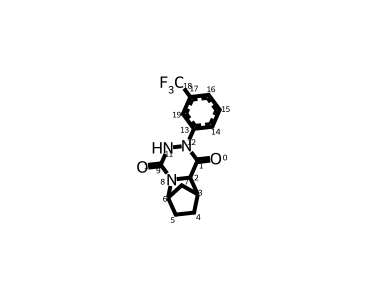 O=C1C2C3CCC(C3)N2C(=O)NN1c1cccc(C(F)(F)F)c1